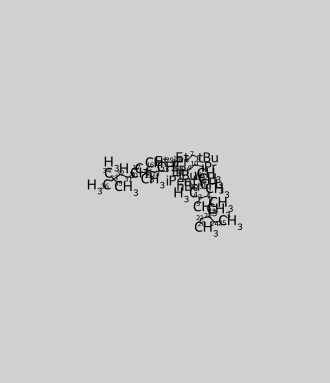 CC(C)C(C)C.CC(C)CC(C)(C)C.CC(C)CC(C)C.CCC(C)(C)C.CCC(C)C.CCC(C)CC.CCC(CC)CC.CCCC(C)(C)C.CCCC(C)C.CCCCC